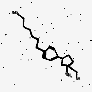 COCCCCCCc1ccc(C2CC[C@](N)(CO)C2)cc1